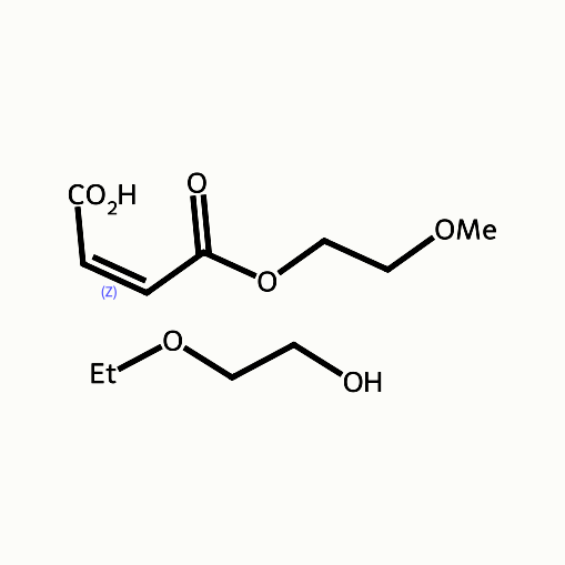 CCOCCO.COCCOC(=O)/C=C\C(=O)O